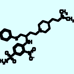 CN(C)CCC1CCN(CCC(CSc2ccccc2)Nc2ccc(S(N)(=O)=O)cc2[N+](=O)[O-])CC1